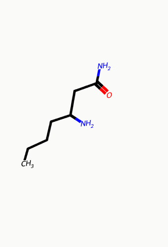 CCCCC(N)CC(N)=O